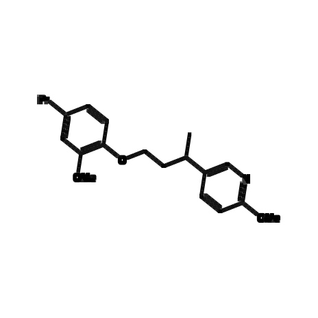 COc1ccc(C(C)CCOc2ccc(C(C)C)cc2OC)cn1